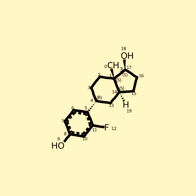 C[C@]12CC[C@@H](c3ccc(O)cc3F)C[C@@H]1CC[C@@H]2O